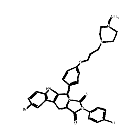 CN1CCN(CCCOc2ccc(C3c4[nH]c5ccc(Br)cc5c4CC4C(=O)N(c5ccc(Cl)cc5)C(=S)N43)cc2)CC1